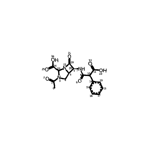 CC(=O)N1CC2[C@H](NC(=O)C(C(=O)O)c3ccccc3)C(=O)N2C1C(=O)O